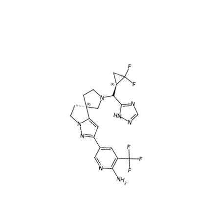 Nc1ncc(-c2cc3n(n2)CC[C@@]32CCN(C(c3ncn[nH]3)[C@H]3CC3(F)F)C2)cc1C(F)(F)F